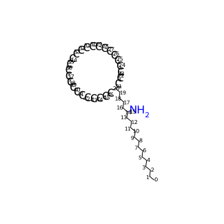 CCCCCCCCCCCCCCC(N)CCCCC1CCCCCCCCCCCCCCCCCCCCCCCCCC1